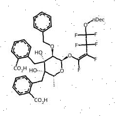 CCCCCCCCCCOC(F)(F)C(F)(F)/C(F)=C(/F)O[C@H]1O[C@H](C)[C@@](O)(Cc2ccccc2C(=O)O)[C@@](O)(Cc2ccccc2C(=O)O)[C@H]1OCc1ccccc1